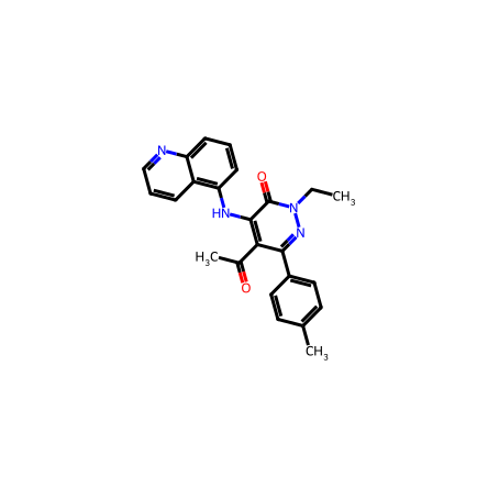 CCn1nc(-c2ccc(C)cc2)c(C(C)=O)c(Nc2cccc3ncccc23)c1=O